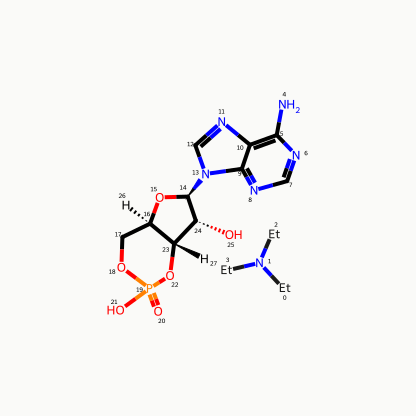 CCN(CC)CC.Nc1ncnc2c1ncn2[C@@H]1O[C@@H]2COP(=O)(O)O[C@H]2[C@H]1O